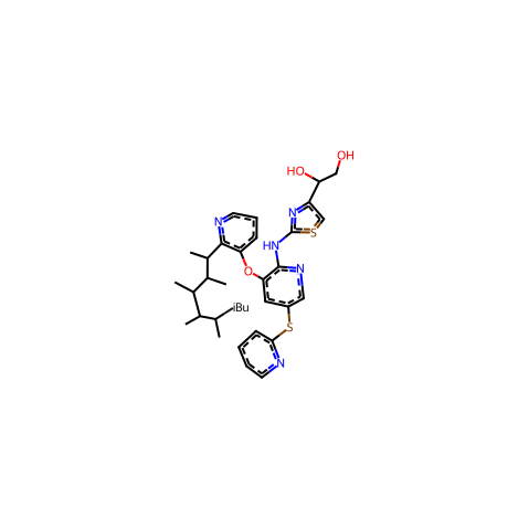 CCC(C)C(C)C(C)C(C)C(C)C(C)c1ncccc1Oc1cc(Sc2ccccn2)cnc1Nc1nc(C(O)CO)cs1